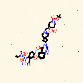 CCN(C)S(=O)(=O)Nc1ccc(F)c(Oc2ccc3ncn(C4CC5(CCN(CC6(O)CCN(C(=O)OC(C)(C)C)CC6)CC5)C4)c(=O)c3c2)c1C#N